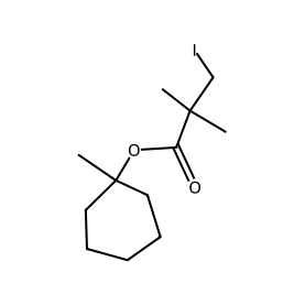 CC1(OC(=O)C(C)(C)CI)CCCCC1